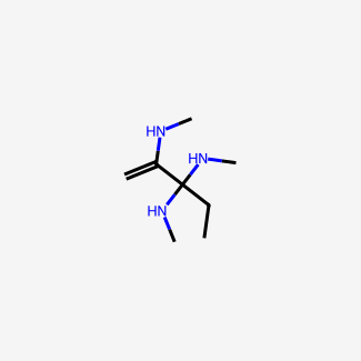 C=C(NC)C(CC)(NC)NC